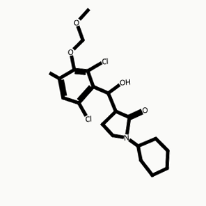 COCOc1c(C)cc(Cl)c(C(O)C2CCN(C3CCCCC3)C2=O)c1Cl